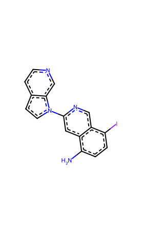 Nc1ccc(I)c2cnc(-n3ccc4ccncc43)cc12